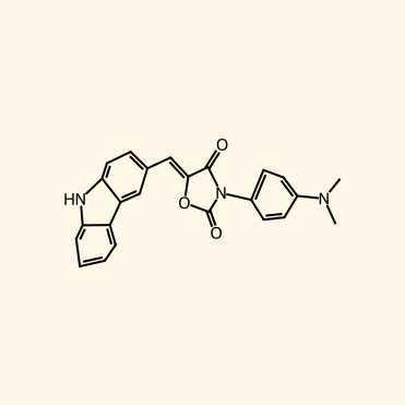 CN(C)c1ccc(N2C(=O)OC(=Cc3ccc4[nH]c5ccccc5c4c3)C2=O)cc1